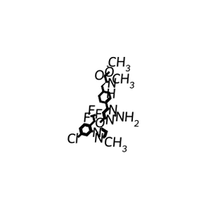 CCOC(=O)[C@H](CC1CC=C(c2cc(O[C@H](c3ccc(Cl)cc3-n3ccc(C)n3)C(F)(F)F)nc(N)n2)CC1)NC